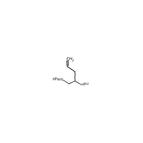 C=CCC(CCCC)CCCCCC